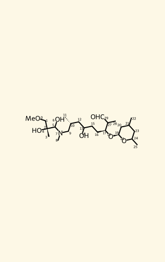 COC[C@@](C)(O)C(O)N(C)C[C@H](C)CC(O)CC[C@H](O[C@H]1CC(C)CC(C)O1)C(C)C=O